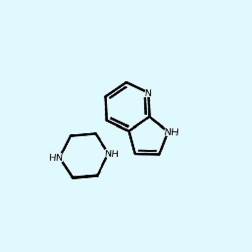 C1CNCCN1.c1cnc2[nH]ccc2c1